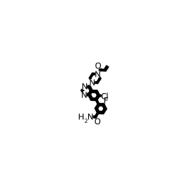 C=CC(=O)N1CCN(c2ncnc3cc(-c4cc(C(N)=O)ccc4F)c(Cl)cc23)CC1